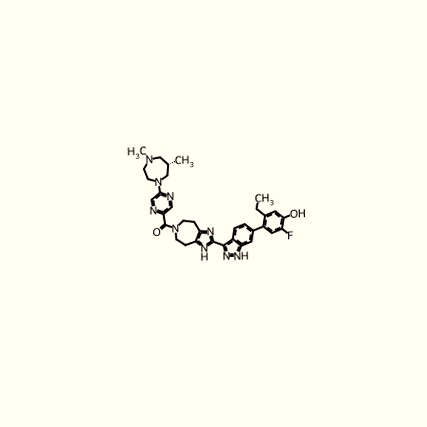 CCc1cc(O)c(F)cc1-c1ccc2c(-c3nc4c([nH]3)CCN(C(=O)c3cnc(N5CCN(C)C[C@H](C)C5)cn3)CC4)n[nH]c2c1